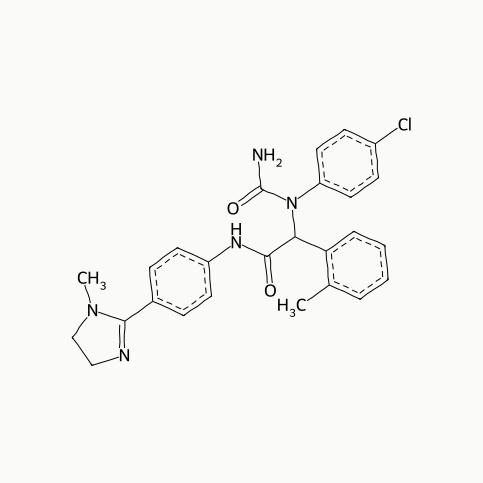 Cc1ccccc1C(C(=O)Nc1ccc(C2=NCCN2C)cc1)N(C(N)=O)c1ccc(Cl)cc1